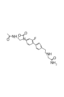 CC(=O)NC[C@H]1CN(c2ccc(-c3ccc(CCNCC(N)=O)cc3)c(F)c2)C(=O)O1